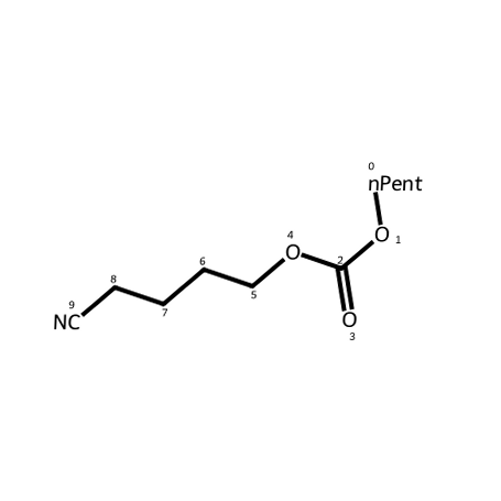 CCCCCOC(=O)OCCCCC#N